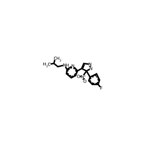 CC(C)CNc1cccc(C2=CN=NC2(c2ccc(F)cc2)[N+](=O)[O-])n1